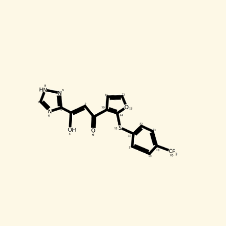 O=C(C=C(O)c1nc[nH]n1)c1ccoc1Sc1ccc(C(F)(F)F)cc1